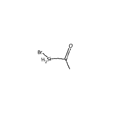 CC(=O)[SiH2]Br